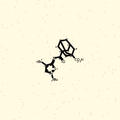 CCCCc1cn(C(C)(C)C)s/c1=N\C(=O)C12CC3CC(CC(C(=O)O)(C3)C1)C2